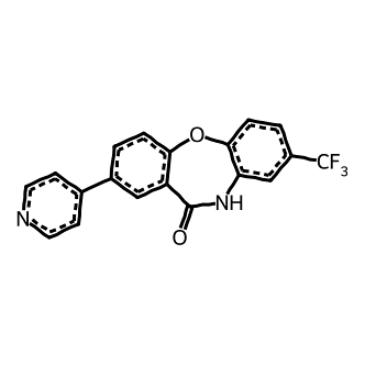 O=C1Nc2cc(C(F)(F)F)ccc2Oc2ccc(-c3ccncc3)cc21